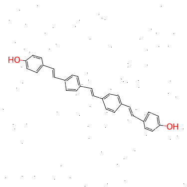 Oc1ccc(/C=C/c2ccc(/C=C/c3ccc(/C=C/c4ccc(O)cc4)cc3)cc2)cc1